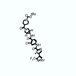 Cn1c(-c2c[nH]nc2C(F)(F)F)cnc1C(=O)Nc1ccc(C(=O)N[C@@H]2[C@@H]3CN(C(=O)C4CCN(C(=O)OC(C)(C)C)CC4)C[C@@H]32)c(Cl)c1